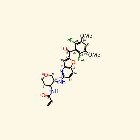 C=CC(=O)NC1CCOCC1Nc1ccc2oc(C(=O)c3c(F)c(OC)cc(OC)c3F)cc2n1